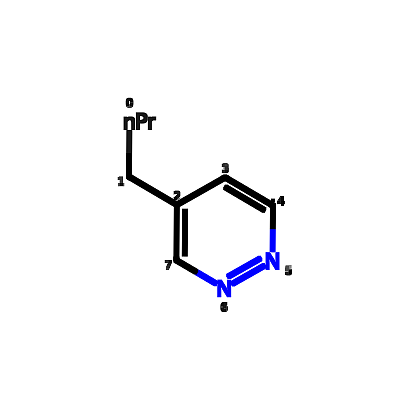 CCCCc1c[c]nnc1